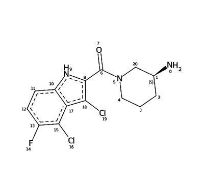 N[C@H]1CCCN(C(=O)c2[nH]c3ccc(F)c(Cl)c3c2Cl)C1